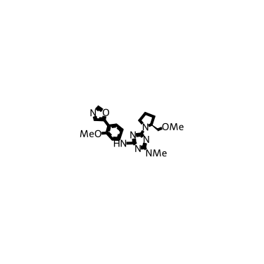 CNc1nc(Nc2ccc(-c3cnco3)c(OC)c2)nc(N2CCC[C@H]2COC)n1